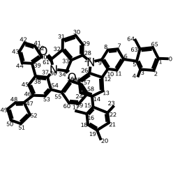 Cc1cc(C)c(-c2ccc3c(c2)c2cc(-c4c(C)cc(C)cc4C)ccc2n3-c2cccc3c2C(=O)N(c2c(-c4ccccc4)cc(-c4ccccc4)cc2-c2ccccc2)C3=O)c(C)c1